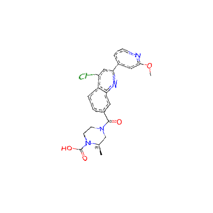 COc1cc(-c2cc(Cl)c3ccc(C(=O)N4CCN(C(=O)O)[C@H](C)C4)cc3n2)ccn1